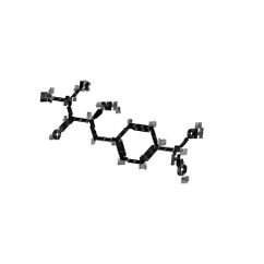 CCN(CC)C(=O)[C@@H](N)Cc1ccc([PH](=O)O)cc1